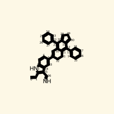 C=Cc1[nH]c2ccc(C3=Cc4c(c(-c5ccccc5)c5c(c4-c4ccccc4)=CCC=5)CC3)cc2c1C=N